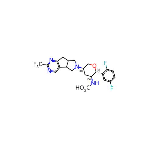 O=C(O)N[C@H]1C[C@@H](N2CC3Cc4nc(C(F)(F)F)ncc4C3C2)CO[C@@H]1c1cc(F)ccc1F